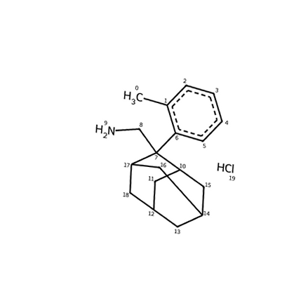 Cc1ccccc1C1(CN)C2CC3CC(C2)CC1C3.Cl